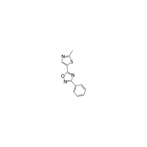 Cc1ncc(-c2nc(-c3ccccc3)no2)s1